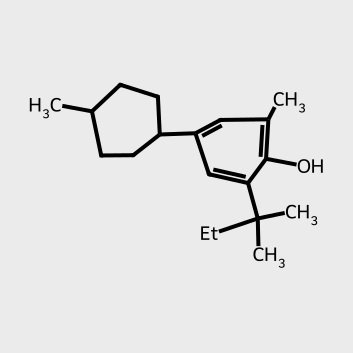 CCC(C)(C)c1cc(C2CCC(C)CC2)cc(C)c1O